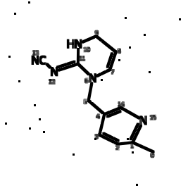 Cc1ccc(CN2C=CCNC2=NC#N)cn1